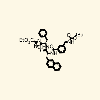 CCOC(=O)c1noc([C@@H](Cc2ccccc2)NC(=O)[C@@H](Cc2ccc3ccccc3c2)NC(=O)c2cccc(CNC(=O)OC(C)(C)C)c2)n1